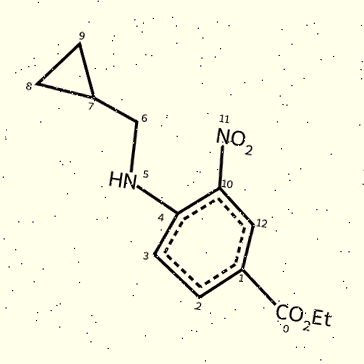 CCOC(=O)c1ccc(NCC2CC2)c([N+](=O)[O-])c1